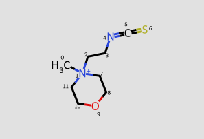 C[N+]1(CCN=C=S)CCOCC1